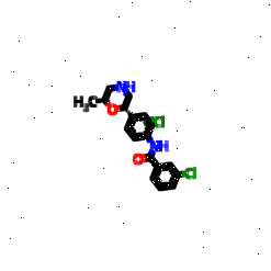 C[C@H]1CNC[C@H](c2ccc(NC(=O)c3cccc(Cl)c3)cc2)O1.Cl